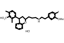 COc1cc(CCNCCCC2CC(c3ccc(C)c(C(=O)O)c3C)c3ccccc3O2)ccc1F.Cl